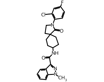 Cn1nc(C(=O)NC2CCC3(CC2)CCN(c2ccc(F)cc2Cl)C3=O)c2ccccc21